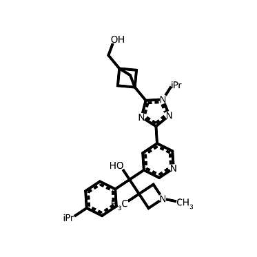 CC(C)c1ccc(C(O)(c2cncc(-c3nc(C45CC(CO)(C4)C5)n(C(C)C)n3)c2)C2(C)CN(C)C2)cc1